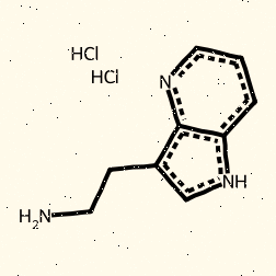 Cl.Cl.NCCc1c[nH]c2cccnc12